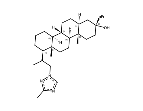 CCC[C@@]1(O)CC[C@@]2(C)[C@@H](CC[C@@H]3[C@@H]2CC[C@]2(C)[C@@H](C(C)Cn4nnc(C)n4)CCC[C@@H]32)C1